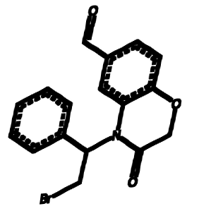 O=Cc1ccc2c(c1)N(C(CBr)c1ccccc1)C(=O)CO2